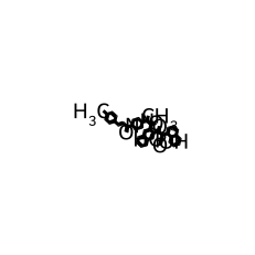 Cc1ccc(C=CC(=O)N2CCC(N(C)C(=O)c3cc4ccccc4cc3C(=O)C(c3cccc4ccccc34)P(=O)(O)O)CC2)cc1